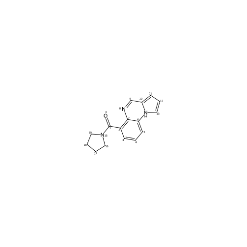 O=C(c1cccc2c1ncc1cccn12)N1CCCC1